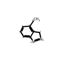 Cc1cccc2c1CN=N2